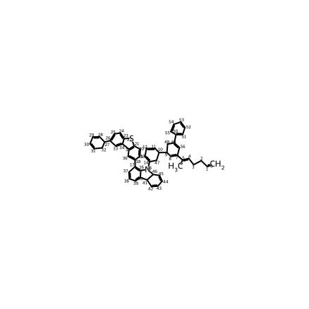 C=CCC/C=C(\C)C1=CC(C2C=CC=C(N3c4c(-c5ccc6sc7ccc(C8C=CC=CC8)cc7c6c5)cccc4C4C=CC=CC43)C2)CC(c2ccccc2)=C1